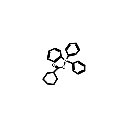 O=C(OS(c1ccccc1)(c1ccccc1)c1ccccc1)C1CCCCC1